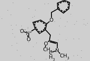 COC(=CN(C)C)Cc1cc([N+](=O)[O-])ccc1OCc1ccccc1